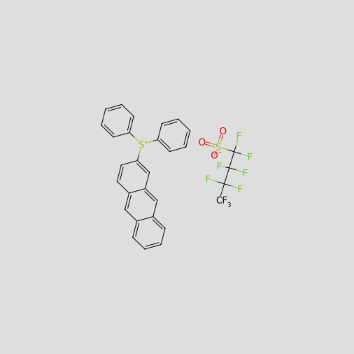 O=S(=O)([O-])C(F)(F)C(F)(F)C(F)(F)C(F)(F)F.c1ccc([S+](c2ccccc2)c2ccc3cc4ccccc4cc3c2)cc1